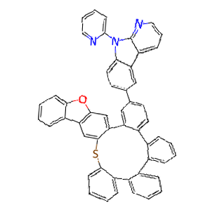 c1ccc(-n2c3ccc(-c4ccc5c(c4)-c4cc6oc7ccccc7c6cc4Sc4ccccc4-c4ccccc4-c4ccccc4-5)cc3c3cccnc32)nc1